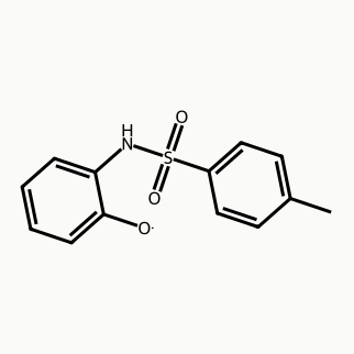 Cc1ccc(S(=O)(=O)Nc2ccccc2[O])cc1